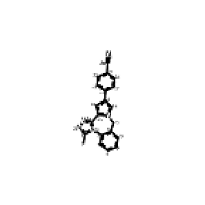 Cc1nnc2n1-c1ccccc1Cn1cc(-c3ccc(C#N)cc3)cc1-2